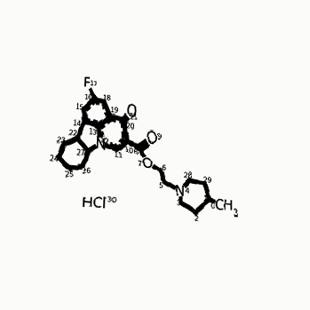 CC1CCN(CCOC(=O)c2cn3c4c(cc(F)cc4c2=O)C2CCCCC23)CC1.Cl